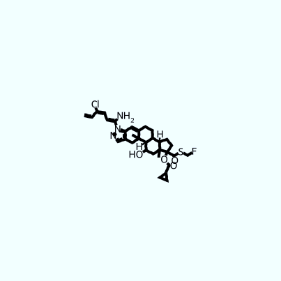 C=C/C(Cl)=C\C=C(/N)n1ncc2c1C=C1CCC3[C@H](C(O)CC4(C)[C@H]3CCC4(OC(=O)C3CC3)C(=O)SCF)C1(C)C2